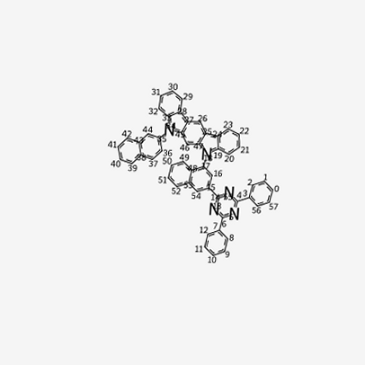 c1ccc(-c2nc(-c3ccccc3)nc(-c3cc(-n4c5ccccc5c5cc6c7ccccc7n(-c7ccc8ccccc8c7)c6cc54)c4ccccc4c3)n2)cc1